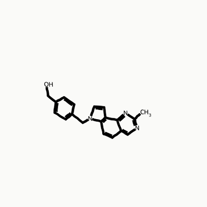 Cc1ncc2ccc3c(ccn3Cc3ccc(CO)cc3)c2n1